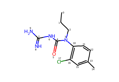 CCCN(C(=O)NC(=N)N)c1ccc(C)cc1Cl